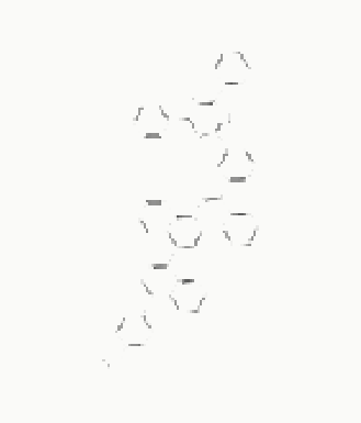 N#Cc1ccc(-c2ccc(-c3cc4c5ccccc5c(-c5cccc(-c6nc(-c7ccccc7)nc(-c7ccccc7)n6)c5)cc4c4ccccc34)c3ccccc23)cc1